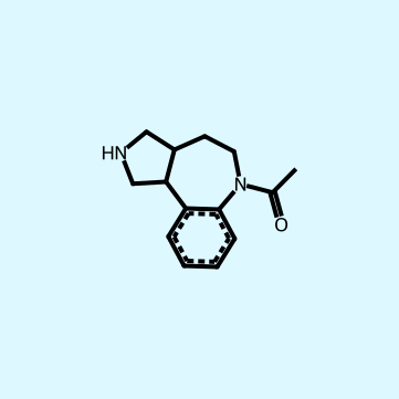 CC(=O)N1CCC2CNCC2c2ccccc21